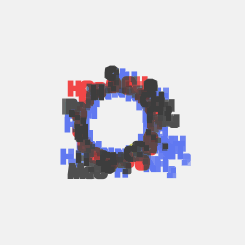 CCCC[C@H]1C(=O)N(C)[C@@H](CCCC)C(=O)N[C@@H](CCCNC(=N)N)C(=O)N[C@H](C(=O)NCC(N)=O)CSCC(=O)N[C@@H](Cc2ccc(OC)cc2)C(=O)N(C)[C@@H](C)C(=O)N[C@@H](CC(N)=O)C(=O)N2CCC[C@H]2C(=O)N[C@@H](Cc2cnc[nH]2)C(=O)N[C@@H](CC(C)C)C(=O)N2C[C@H](O)C[C@H]2C(=O)N[C@@H](Cc2c[nH]c3ccccc23)C(=O)N[C@@H](CO)C(=O)N[C@@H](Cc2c[nH]c3ccccc23)C(=O)N1C